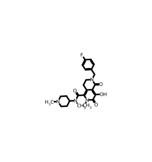 CN1CCC(N(C)C(=O)c2c3c(c(O)c(=O)n2C)C(=O)N(Cc2ccc(F)cc2)CC3)CC1